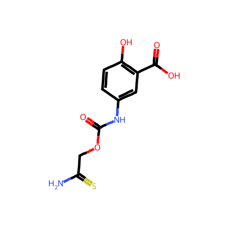 NC(=S)COC(=O)Nc1ccc(O)c(C(=O)O)c1